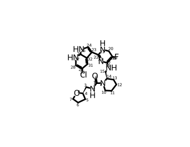 O=C(NC[C@H]1CCCO1)N1CCCC[C@@H]1CNC1=C(F)CNC(C2=CNC3NC=C(Cl)C=C23)=N1